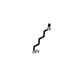 C=NCCCCCCCC